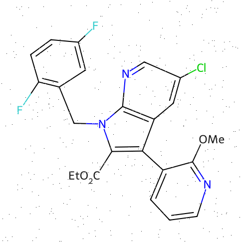 CCOC(=O)c1c(-c2cccnc2OC)c2cc(Cl)cnc2n1Cc1cc(F)ccc1F